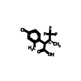 Cc1cc(Cl)ccc1C(C(=O)O)[C@@H](C)C(F)(F)F